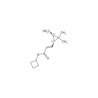 CC1(C)[C@H](C(=O)O)[C@@H]1C=CC(=O)OC1CCC1